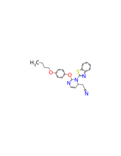 CCCCOc1ccc(OC2=NC=CC(CC#N)N2c2nc3ccccc3s2)cc1